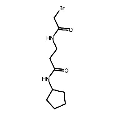 O=C(CBr)NCCC(=O)NC1CCCC1